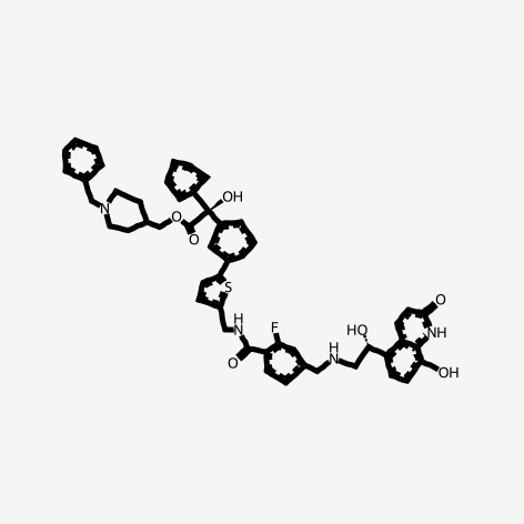 O=C(NCc1ccc(-c2cccc([C@](O)(C(=O)OCC3CCN(Cc4ccccc4)CC3)c3ccccc3)c2)s1)c1ccc(CNC[C@H](O)c2ccc(O)c3[nH]c(=O)ccc23)cc1F